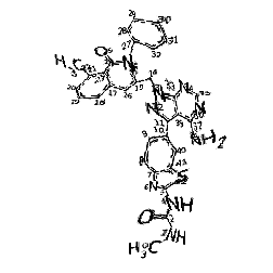 CNC(=O)Nc1nc2ccc(-c3nn(Cc4cc5cccc(C)c5c(=O)n4-c4ccccc4)c4ncnc(N)c34)cc2s1